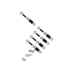 [Ce+3].[Mg+2].[O]=[Al][O-].[O]=[Al][O-].[O]=[Al][O-].[O]=[Al][O-].[O]=[Al][O-].[Tb]